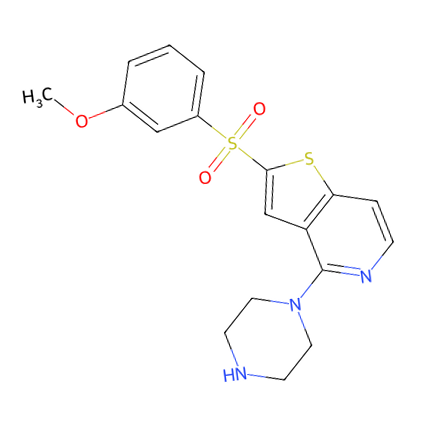 COc1cccc(S(=O)(=O)c2cc3c(N4CCNCC4)nccc3s2)c1